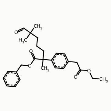 CCOC(=O)Cc1ccc(C(C)(CCCC(C)(C)C=O)C(=O)OCc2ccccc2)cc1